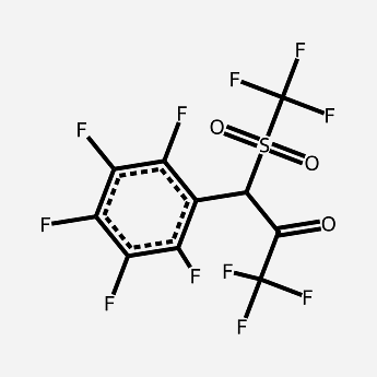 O=C(C(c1c(F)c(F)c(F)c(F)c1F)S(=O)(=O)C(F)(F)F)C(F)(F)F